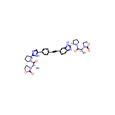 CC(C)[C@@H](C(=O)N1CCC[C@H]1c1ncc(-c2ccc(C#Cc3ccc4nc([C@@H]5CCCN5C(=O)[C@H](C(C)C)N5CCOC5=O)[nH]c4c3)cc2)[nH]1)N1CCOC1=O